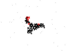 C=C(/C=C\C=C/C)[C@H]1CCc2cc(OC(C)(C)C)ccc2[C@H]1c1ccc(OCC2CC[C@H](CO)O2)cc1